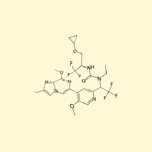 CCN(C(=O)NC(COC1CC1)C(F)(F)F)C(c1cc(-c2cn3cc(C)nc3c(OC)n2)c(OC)cn1)C(F)(F)F